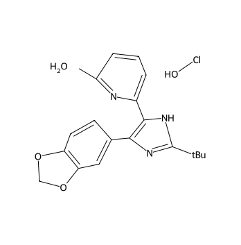 Cc1cccc(-c2[nH]c(C(C)(C)C)nc2-c2ccc3c(c2)OCO3)n1.O.OCl